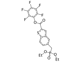 CCOP(=O)(Cc1ccc2sc(C(=O)Oc3c(F)c(F)c(F)c(F)c3F)cc2c1)OCC